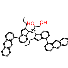 CCCC1=Cc2c(-c3cccc4cc5ccccc5cc34)cccc2[CH]1[Zr]([CH](O)CO)[CH]1C(CCC)=Cc2c(-c3cccc4cc5ccccc5cc34)cccc21